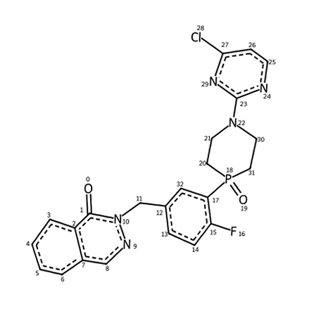 O=c1c2ccccc2cnn1Cc1ccc(F)c(P2(=O)CCN(c3nccc(Cl)n3)CC2)c1